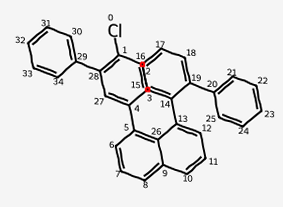 Clc1ccc(-c2cccc3cccc(-c4ccccc4-c4ccccc4)c23)cc1-c1ccccc1